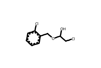 OC(CCl)OCc1ccccc1Cl